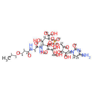 CCCOCCC(=O)NCC(=O)NC1C(O)CC(OP(=O)(O)OC[C@H]2O[C@@H](n3ccc(N)nc3=O)[C@@H](O)[C@H]2O)(C(=O)O)OC1C(O)[C@H](O)CO